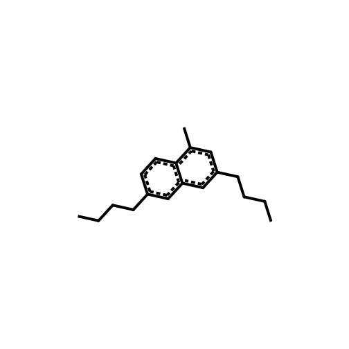 CCCCc1ccc2c(C)cc(CCCC)cc2c1